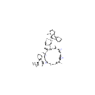 C=NC1=C(N)CCC=C1C1=C(\C)C(=C)N(C2=C[C@@H](n3c4ccccc4c4cccc(C)c43)CC=C2)C(C)/C=C\C=C/C(C)CCC/C=C\1